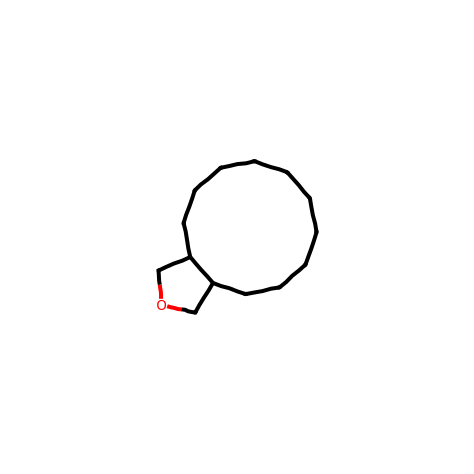 C1CCCCCC2COCC2CCCC1